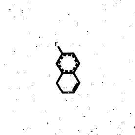 Fc1ccc2c(c1)CCC=C2